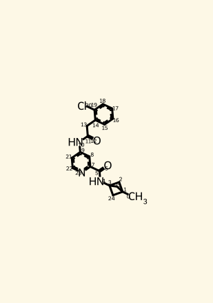 CC12CC(NC(=O)c3cc(NC(=O)Cc4ccccc4Cl)ccn3)(C1)C2